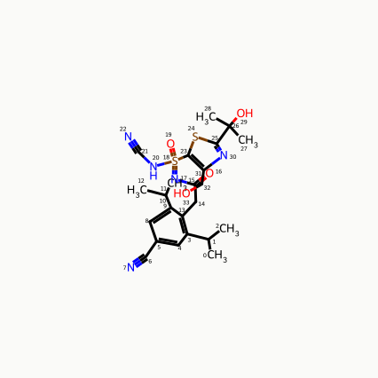 CC(C)c1cc(C#N)cc(C(C)C)c1CC(=O)N=S(=O)(NC#N)c1sc(C(C)(C)O)nc1CO